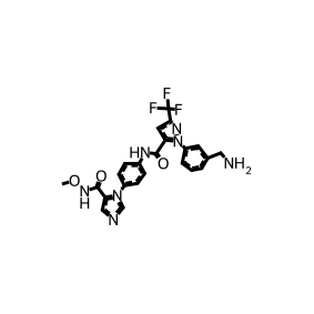 CONC(=O)c1cncn1-c1ccc(NC(=O)c2cc(C(F)(F)F)nn2-c2cccc(CN)c2)cc1